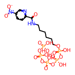 O=C(NCCCCCCOP(=O)(O)OP(=O)(O)OP(=O)(O)OP(=O)(O)OP(=O)(O)O)c1ccc([N+](=O)[O-])cn1